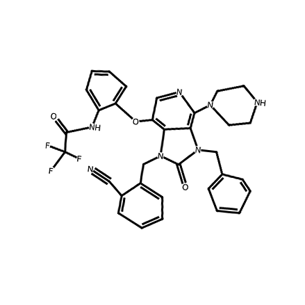 N#Cc1ccccc1Cn1c(=O)n(Cc2ccccc2)c2c(N3CCNCC3)ncc(Oc3ccccc3NC(=O)C(F)(F)F)c21